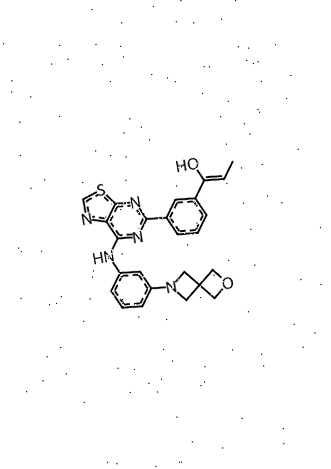 CC=C(O)c1cccc(-c2nc(Nc3cccc(N4CC5(COC5)C4)c3)c3ncsc3n2)c1